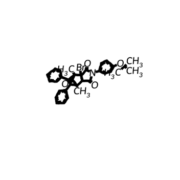 CC(C)(C)Oc1ccc(N2C(=O)C3C4(C)C(=O)C(C)(C(c5ccccc5)=C4c4ccccc4)C3(Br)C2=O)cc1